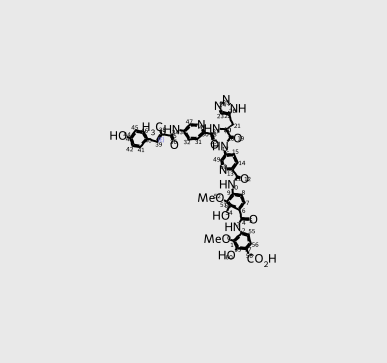 COc1c(NC(=O)c2ccc(NC(=O)c3ccc(NC(=O)[C@H](Cc4cnn[nH]4)NC(=O)c4ccc(NC(=O)/C(C)=C/c5ccc(O)cc5)cn4)cn3)c(OC)c2O)ccc(C(=O)O)c1O